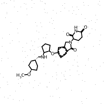 CO[C@H]1CC[C@H](CNC2CCCC2Oc2ccc3c(c2)CN(C2CCC(=O)NC2=O)C3=O)CC1